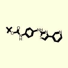 CC(C)(C)OC(=O)Nc1ccc(Nc2nc(-c3cccnc3)cs2)cc1